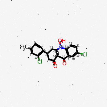 O=C1CC(c2ccc(C(F)(F)F)cc2Cl)Cc2c1c(=O)c1cc(Cl)ccc1n2O